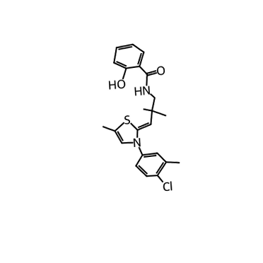 CC1=CN(c2ccc(Cl)c(C)c2)C(=CC(C)(C)CNC(=O)c2ccccc2O)S1